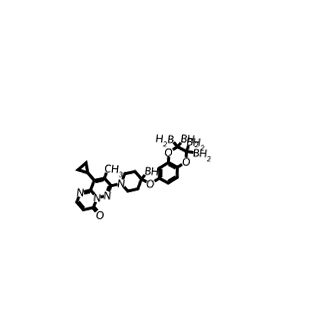 BC1(Oc2ccc3c(c2)OC(B)(B)C(B)(B)O3)CCN(c2nn3c(=O)ccnc3c(C3CC3)c2C)CC1